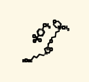 CCCCCCCCCCCCCC[C@H]1CO[C@H](COCCCC[N+]2(C)CCOCC2)C1.Cc1ccc(S(=O)(=O)[O-])cc1